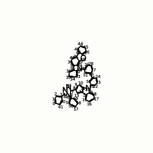 c1ccc(-c2nnc(-c3ccc4c(c3)c3ccccc3n4-c3cccc(-c4cccc(-n5c6ccccc6c6ccc7c8ccccc8oc7c65)c4)c3)n2-c2ccccc2)cc1